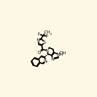 CC(F)(F)c1ncc(C(=O)N2CCc3[nH]cnc3[C@H]2c2cc3ccccc3cn2)s1.Cl